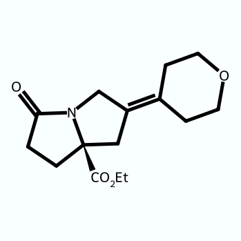 CCOC(=O)[C@@]12CCC(=O)N1CC(=C1CCOCC1)C2